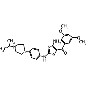 COc1cc(OC)cc(C(=O)c2sc(Nc3ccc(N4CCN(C(C)C)CC4)cc3)nc2N)c1